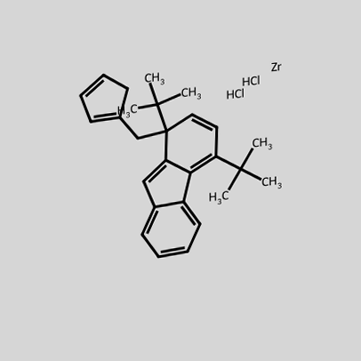 CC(C)(C)C1=C2C(=Cc3ccccc32)C(CC2=CC=CC2)(C(C)(C)C)C=C1.Cl.Cl.[Zr]